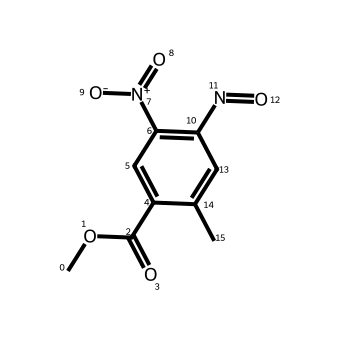 COC(=O)c1cc([N+](=O)[O-])c(N=O)cc1C